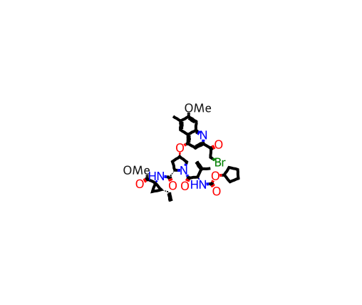 C=C[C@@H]1C[C@]1(NC(=O)[C@@H]1C[C@@H](Oc2cc(C(=O)CBr)nc3cc(OC)c(C)cc23)CN1C(=O)[C@@H](NC(=O)OC1CCCC1)C(=C)C)C(=O)OC